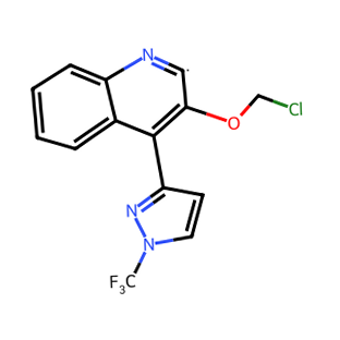 FC(F)(F)n1ccc(-c2c(OCCl)[c]nc3ccccc23)n1